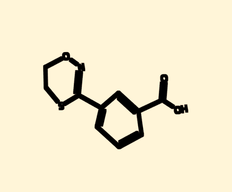 O=C(O)c1cccc(C2=NOCCS2)c1